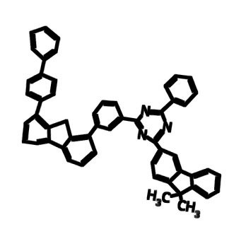 CC1(C)c2ccccc2-c2cc(-c3nc(-c4ccccc4)nc(-c4cccc(-c5cccc6c5Cc5c(-c7ccc(-c8ccccc8)cc7)cccc5-6)c4)n3)ccc21